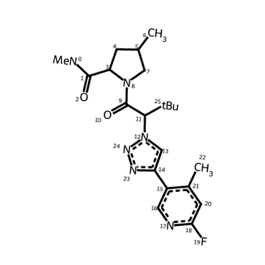 CNC(=O)C1CC(C)CN1C(=O)C(n1cc(-c2cnc(F)cc2C)nn1)C(C)(C)C